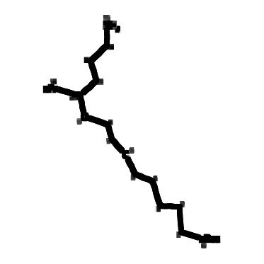 CCCCCCCCCCCCCCCCCCON(CCC)CCCN